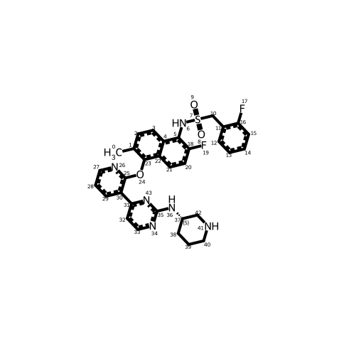 Cc1ccc2c(NS(=O)(=O)Cc3ccccc3F)c(F)ccc2c1Oc1ncccc1-c1ccnc(N[C@H]2CCCNC2)n1